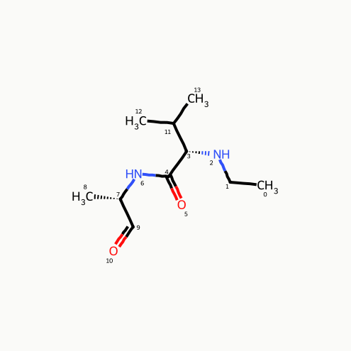 CCN[C@H](C(=O)N[C@@H](C)C=O)C(C)C